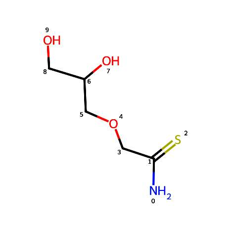 NC(=S)COCC(O)CO